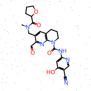 CN(Cc1cc2c(nc1C=O)N(C(=O)Nc1cc(O)c(C#N)cn1)CCC2)C(=O)C1CCCO1